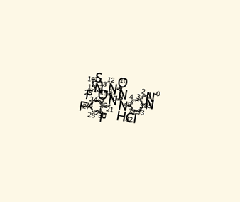 Cn1cc2cc(Nc3nc(=O)n(Cc4nccs4)c(=O)n3Cc3cc(F)c(F)cc3F)c(Cl)cc2n1